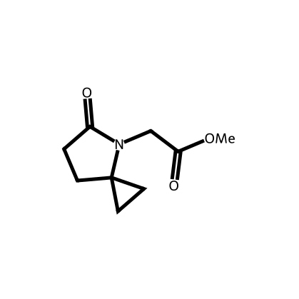 COC(=O)CN1C(=O)CCC12CC2